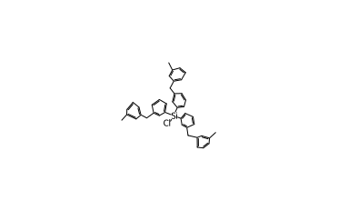 Cc1cccc(Cc2cccc([Si](Cl)(c3cccc(Cc4cccc(C)c4)c3)c3cccc(Cc4cccc(C)c4)c3)c2)c1